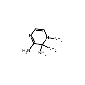 NC1=NC=CN(N)C1(N)N